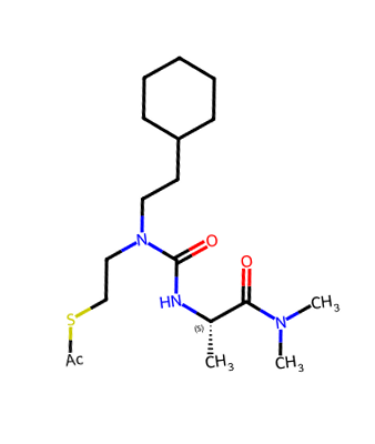 CC(=O)SCCN(CCC1CCCCC1)C(=O)N[C@@H](C)C(=O)N(C)C